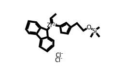 C[CH]=[Zr+2]([C]1=CC(CCO[Si](C)(C)C)=CC1)[CH]1c2ccccc2-c2ccccc21.[Cl-].[Cl-]